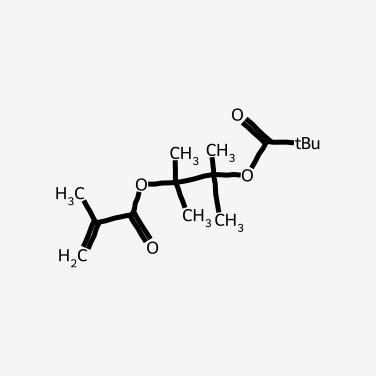 C=C(C)C(=O)OC(C)(C)C(C)(C)OC(=O)C(C)(C)C